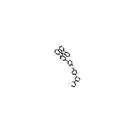 c1cncc(-c2cccc(-c3ccc(-c4nc5ccc(-c6ccc7c(c6)C6(c8ccccc8-c8ccccc86)c6ccccc6-7)cc5o4)cc3)c2)c1